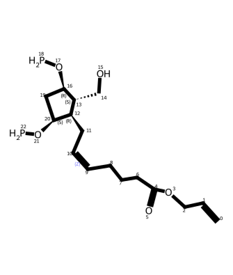 C=CCOC(=O)CCC/C=C\C[C@@H]1[C@@H](CO)[C@H](OP)C[C@@H]1OP